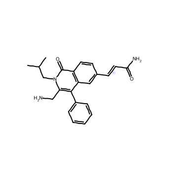 CC(C)Cn1c(CN)c(-c2ccccc2)c2cc(/C=C/C(N)=O)ccc2c1=O